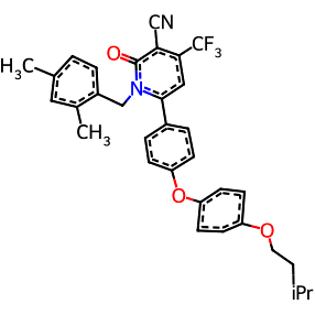 Cc1ccc(Cn2c(-c3ccc(Oc4ccc(OCCC(C)C)cc4)cc3)cc(C(F)(F)F)c(C#N)c2=O)c(C)c1